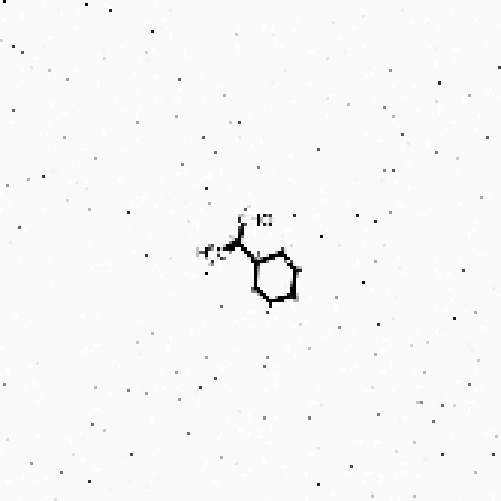 C=C(C=O)C1CCCCC1